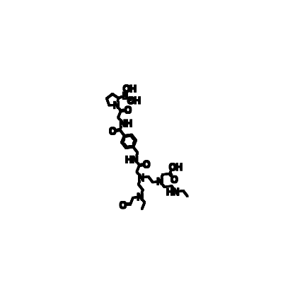 CCNCCN(CCN(CCN(CC)CC=O)CC(=O)NCc1ccc(C(=O)NCC(=O)N2CCC[C@H]2B(O)O)cc1)CC(=O)O